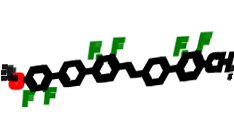 CCOc1ccc(C2=CCC(c3ccc(CCC4CCC(c5ccc(C)c(F)c5F)CC4)c(F)c3F)CC2)c(F)c1F